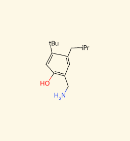 CC(C)Cc1cc(CN)c(O)cc1C(C)(C)C